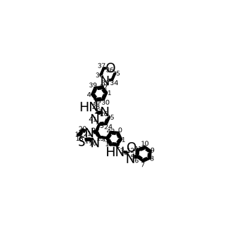 c1cc(Nc2nc3ccccc3o2)cc(-c2nc3sccn3c2-c2ccnc(Nc3ccc(N4CCOCC4)cc3)n2)c1